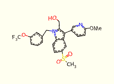 COc1ccc(-c2c(CO)n(Cc3cccc(OC(F)(F)F)c3)c3ccc(S(C)(=O)=O)cc23)cn1